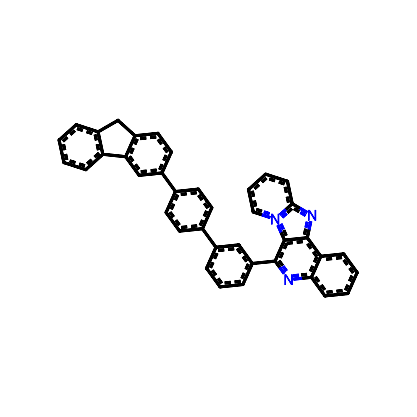 c1cc(-c2ccc(-c3ccc4c(c3)-c3ccccc3C4)cc2)cc(-c2nc3ccccc3c3nc4ccccn4c23)c1